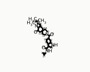 CC(C)(C)n1cc2c(n1)C(=O)CC1(CCN(C(=O)c3ccc4c(C(=O)NC5CC5)c[nH]c4c3)CC1)C2